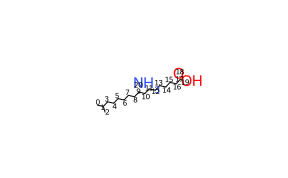 CC(C)CCCCCCCCCCCCCCC(=O)O.N